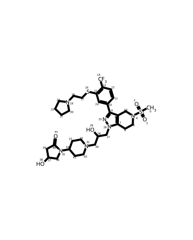 CS(=O)(=O)N1CCc2c(c(-c3ccc(C(F)(F)F)c(SCCN4CCCC4)c3)nn2CC(O)CN2CCC(N3CC(O)CC3=O)CC2)C1